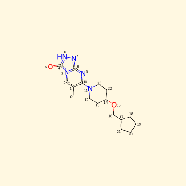 Cc1cn2c(=O)[nH]nc2nc1N1CCC(OCC2CCCC2)CC1